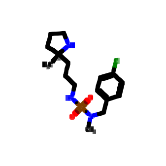 CN(Cc1ccc(Cl)cc1)S(=O)(=O)NCCC[C@]1(C)CCCN1